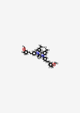 CCOc1cc(/C=C/c2ccc(N(c3cccc(N(c4ccc(/C=C/c5ccc(C)c(OCC)c5)cc4)c4ccc(C(C)C)cc4C)c3)c3ccc(C(C)C)cc3C)cc2)ccc1C